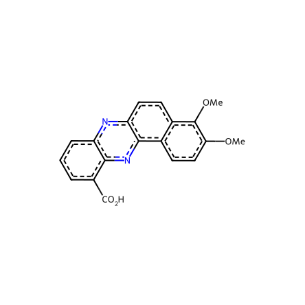 COc1ccc2c(ccc3nc4cccc(C(=O)O)c4nc32)c1OC